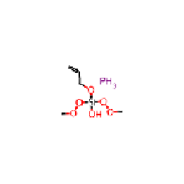 C=CCO[Si](O)(OOC)OOC.P